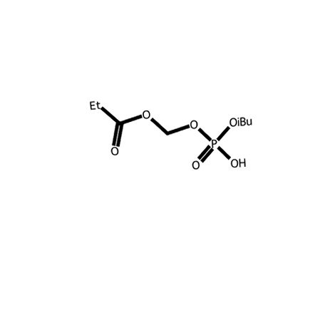 CCC(=O)OCOP(=O)(O)OCC(C)C